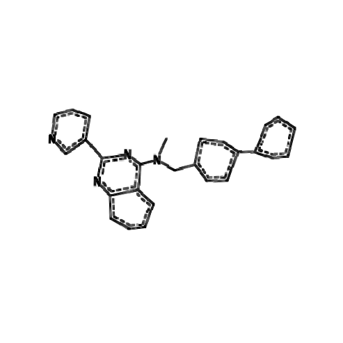 CN(Cc1ccc(-c2ccccc2)cc1)c1nc(-c2cccnc2)nc2ccccc12